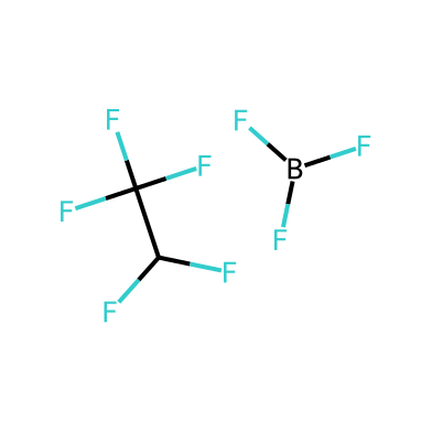 FB(F)F.FC(F)C(F)(F)F